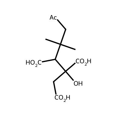 CC(=O)CC(C)(C)C(C(=O)O)C(O)(CC(=O)O)C(=O)O